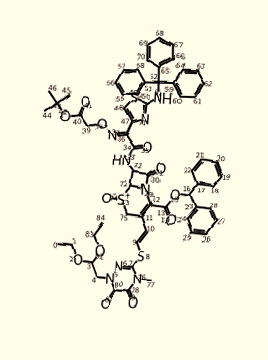 CCOC(Cn1nc(SC=CC2=C(C(=O)OC(c3ccccc3)c3ccccc3)N3C(=O)C(NC(=O)C(=NOCC(=O)OC(C)(C)C)c4csc(NC(c5ccccc5)(c5ccccc5)c5ccccc5)n4)C3[S+]([O-])C2)n(C)c(=O)c1=O)OCC